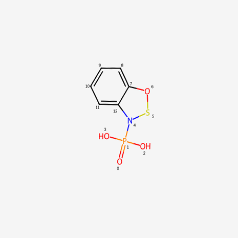 O=P(O)(O)N1SOc2ccccc21